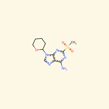 CS(=O)(=O)c1nc(N)c2ncn(C3CCCCO3)c2n1